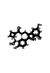 O=C(CCc1c(-c2ccc(F)cc2)[nH]c2c(F)cc(F)cc12)N1CC[C@H]1CO